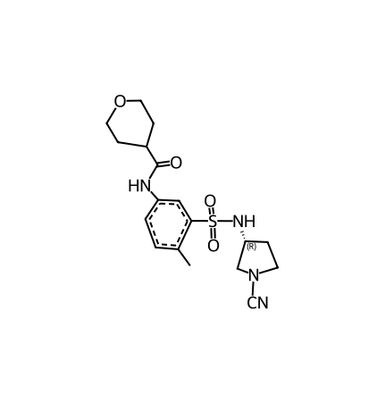 Cc1ccc(NC(=O)C2CCOCC2)cc1S(=O)(=O)N[C@@H]1CCN(C#N)C1